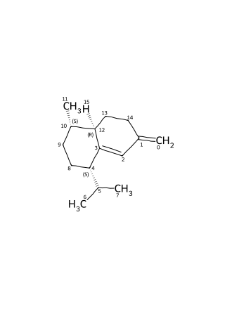 C=C1C=C2[C@H](C(C)C)CC[C@H](C)[C@H]2CC1